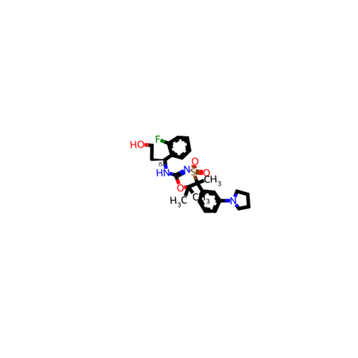 CC1(C)OC(N[C@@H](CCO)c2ccccc2F)=NS(=O)(=O)C1(C)c1cccc(N2CCCC2)c1